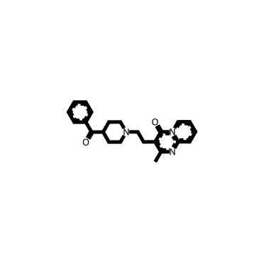 Cc1nc2ccccn2c(=O)c1CCN1CCC(C(=O)c2ccccc2)CC1